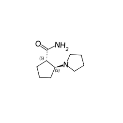 NC(=O)[C@H]1CCC[C@@H]1N1CCCC1